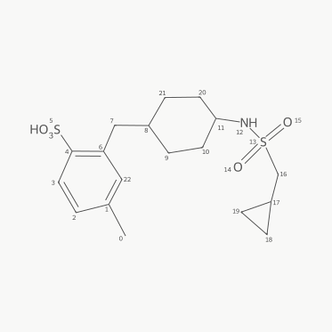 Cc1ccc(S(=O)(=O)O)c(CC2CCC(NS(=O)(=O)CC3CC3)CC2)c1